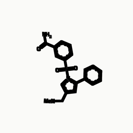 CNCc1cc(-c2ccccc2)n(S(=O)(=O)c2cccc(C(N)=O)c2)c1